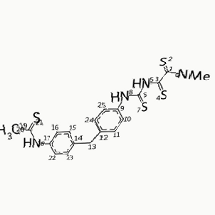 CNC(=S)C(=S)NC(=S)Nc1ccc(Cc2ccc(NC(C)=S)cc2)cc1